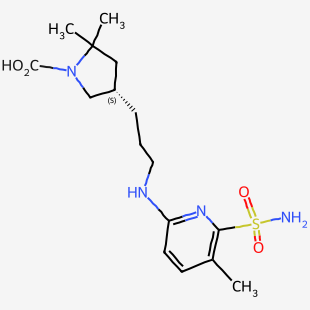 Cc1ccc(NCCC[C@@H]2CN(C(=O)O)C(C)(C)C2)nc1S(N)(=O)=O